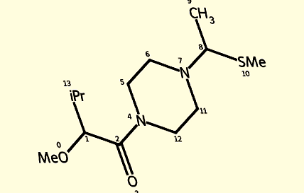 COC(C(=O)N1CCN(C(C)SC)CC1)C(C)C